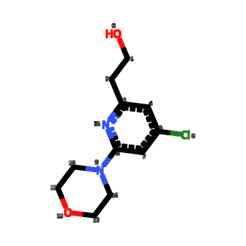 OCCc1cc(Cl)cc(N2CCOCC2)n1